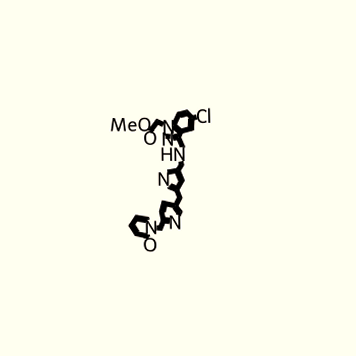 COC(=O)Cn1nc(CNCc2cncc(Cc3ccc(Cn4ccccc4=O)nc3)c2)c2cc(Cl)ccc21